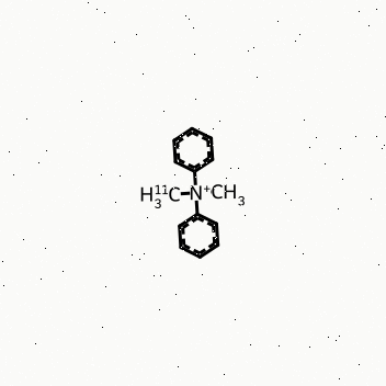 C[N+]([11CH3])(c1ccccc1)c1ccccc1